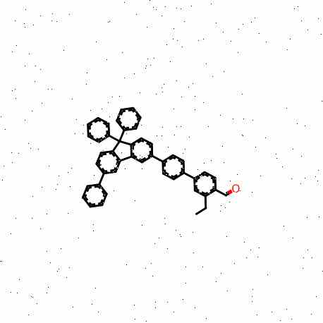 CCc1cc(-c2ccc(-c3ccc4c(c3)-c3cc(-c5ccccc5)ccc3C4(c3ccccc3)c3ccccc3)cc2)ccc1C=O